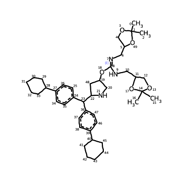 CC1(C)OCC(C/N=C(\NCC2COC(C)(C)O2)OC2CNC(C(c3ccc(C4CCCCC4)cc3)c3ccc(C4CCCCC4)cc3)C2)O1